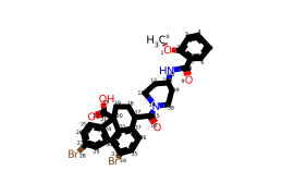 COc1ccccc1C(=O)NC1CCN(C(=O)C2CCC(C(=O)O)(c3ccc(Br)cc3)c3cc(Br)ccc32)CC1